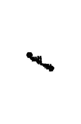 c1ccc(CNCCCNCCCNCc2ccccc2)cc1